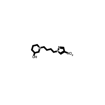 O=[N+]([O-])c1cnn(CCCCN2CCCC(O)C2)c1